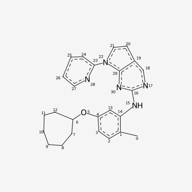 Cc1ccc(OC2CCCCCC2)cc1Nc1ncc2ccn(-c3ccccn3)c2n1